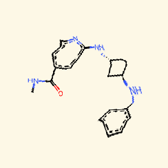 CNC(=O)c1ccnc(N[C@H]2C[C@H](Nc3ccccc3)C2)c1